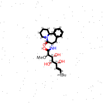 CO[C@@H](C(=O)N[C@H]1Cc2ccccc2C2CCCCN2C1=O)[C@H](O)[C@@H](O)[C@H](O)/C=C/C(C)(C)C